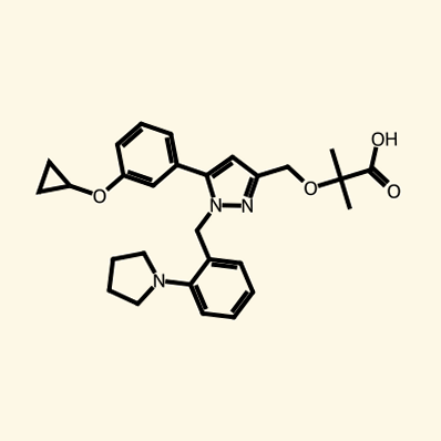 CC(C)(OCc1cc(-c2cccc(OC3CC3)c2)n(Cc2ccccc2N2CCCC2)n1)C(=O)O